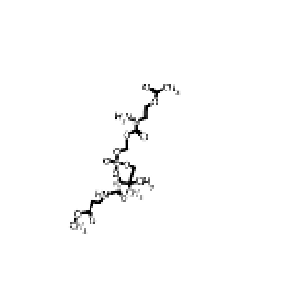 COC(=O)CCNC(=O)[C@@H]1OP(=O)(OCOC(=O)N(N)CCOC(C)=O)OCC1(C)C